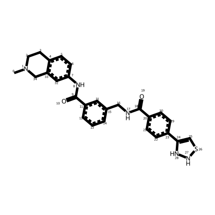 CN1CCc2ccc(NC(=O)c3cccc(CNC(=O)c4ccc(C5=CSNN5)cc4)c3)cc2C1